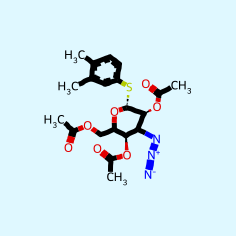 CC(=O)OCC1O[C@H](Sc2ccc(C)c(C)c2)[C@H](OC(C)=O)C(N=[N+]=[N-])[C@H]1OC(C)=O